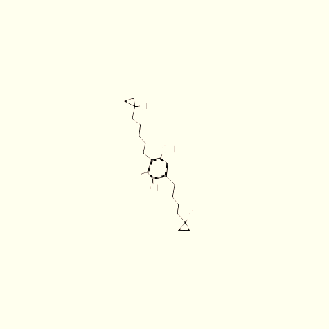 Cc1cc(CCCCC2(C)CC2)c(C)c(C)c1CCCCCC1(C)CC1